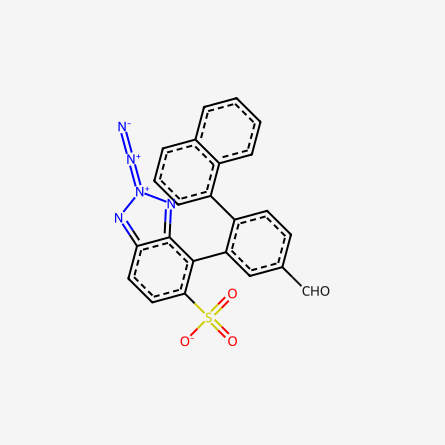 [N-]=[N+]=[N+]1N=c2ccc(S(=O)(=O)[O-])c(-c3cc(C=O)ccc3-c3cccc4ccccc34)c2=N1